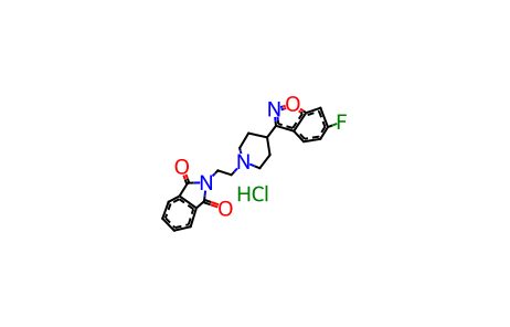 Cl.O=C1c2ccccc2C(=O)N1CCN1CCC(c2noc3cc(F)ccc23)CC1